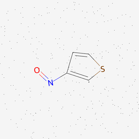 O=Nc1[c]scc1